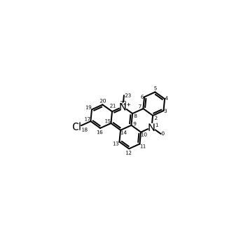 CN1c2ccccc2-c2c3c1cccc3c1cc(Cl)ccc1[n+]2C